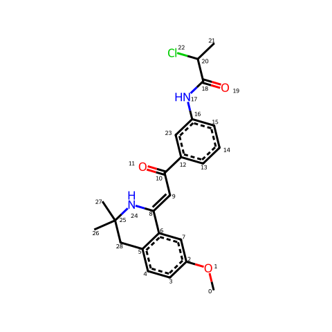 COc1ccc2c(c1)C(=CC(=O)c1cccc(NC(=O)C(C)Cl)c1)NC(C)(C)C2